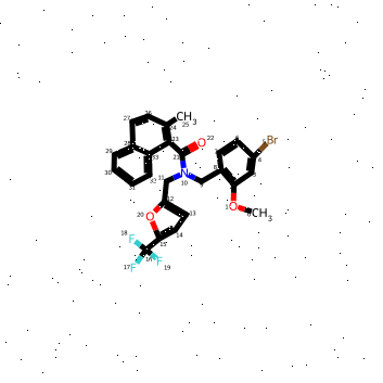 COc1cc(Br)ccc1CN(Cc1ccc(C(F)(F)F)o1)C(=O)c1c(C)ccc2ccccc12